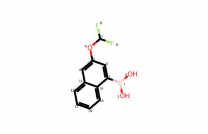 OB(O)c1cc(OC(F)F)cc2ccccc12